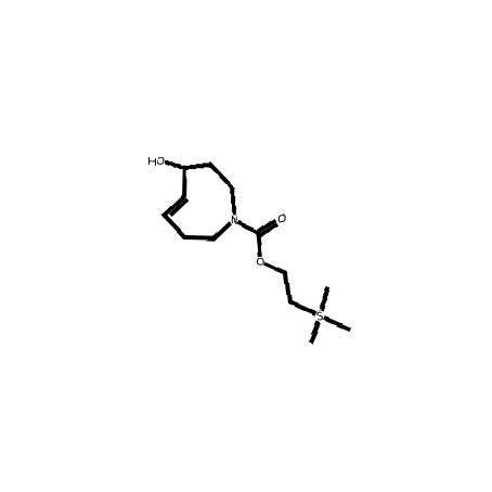 CS(C)(C)CCOC(=O)N1CC/C=C/C(O)CC1